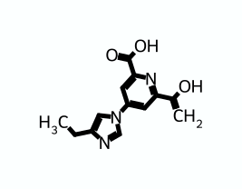 C=C(O)c1cc(-n2cnc(CC)c2)cc(C(=O)O)n1